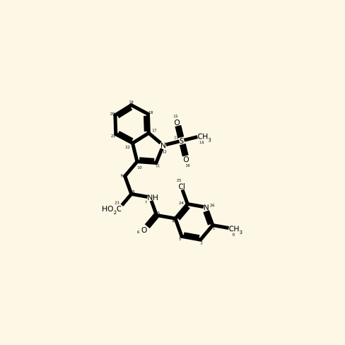 Cc1ccc(C(=O)NC(Cc2cn(S(C)(=O)=O)c3ccccc23)C(=O)O)c(Cl)n1